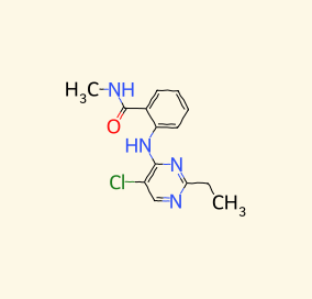 CCc1ncc(Cl)c(Nc2ccccc2C(=O)NC)n1